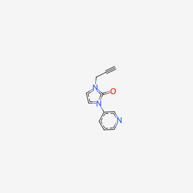 C#CCn1ccn(-c2cccnc2)c1=O